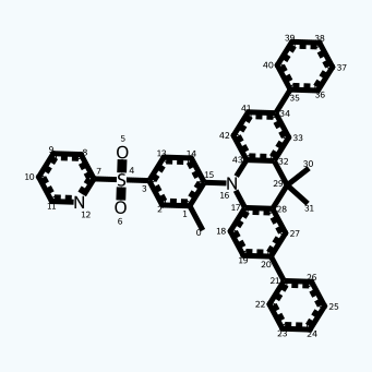 Cc1cc(S(=O)(=O)c2ccccn2)ccc1N1c2ccc(-c3ccccc3)cc2C(C)(C)c2cc(-c3ccccc3)ccc21